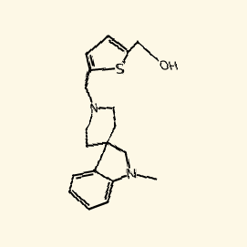 CN1CC2(CCN(Cc3ccc(CO)s3)CC2)c2ccccc21